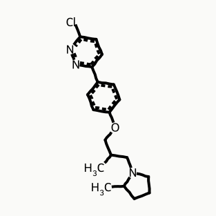 CC(COc1ccc(-c2ccc(Cl)nn2)cc1)CN1CCCC1C